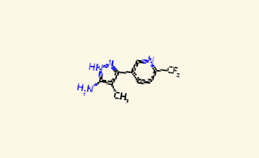 Cc1c(-c2ccc(C(F)(F)F)nc2)n[nH]c1N